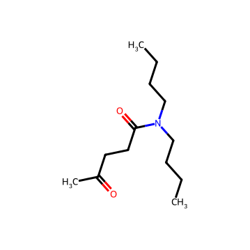 CCCCN(CCCC)C(=O)CCC(C)=O